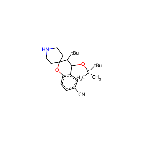 CC(C)(C)C1C(O[Si](C)(C)C(C)(C)C)c2cc(C#N)ccc2OC12CCNCC2